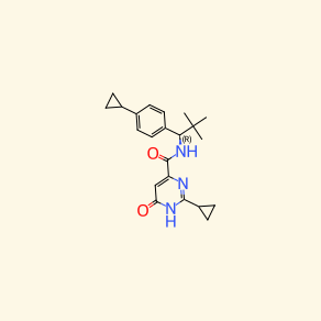 CC(C)(C)[C@@H](NC(=O)c1cc(=O)[nH]c(C2CC2)n1)c1ccc(C2CC2)cc1